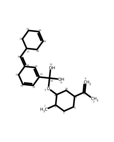 C=C(C)C1CCC(C)C(OC(O)(O)C2=CC(=CC3CC=CCC3)CC=C2)C1